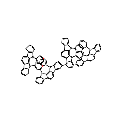 C1=Cc2c(c3ccc4c5ccccc5n(-c5cc(-n6c7ccccc7c7ccc8c9cc(-c%10cccc%11c%10c%10ccc%12c%13ccccc%13n(C%13=NC(n%14c%15ccccc%15c%15ccc%16c%17ccccc%17n(-c%17ccccc%17)c%16c%15%14)CN=C%13)c%12c%10n%11-c%10ccccc%10)ccc9n(-c9ccccc9)c8c76)ncn5)c4c3n2-c2ccccc2)CC1